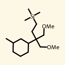 COCC(CC[Si](C)(C)C)(COC)C1CCCC(C)C1